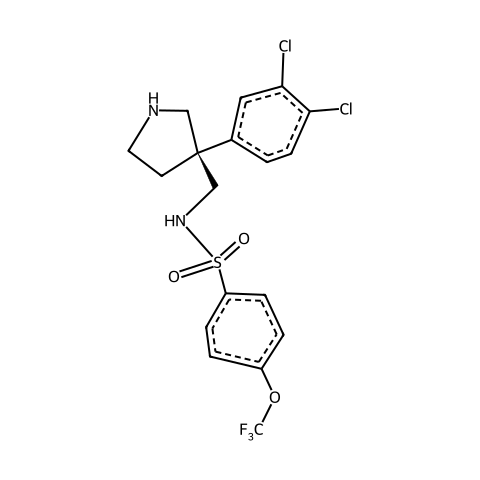 O=S(=O)(NC[C@@]1(c2ccc(Cl)c(Cl)c2)CCNC1)c1ccc(OC(F)(F)F)cc1